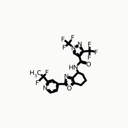 CC(F)(F)c1cc(-c2nc3c(o2)CCCC3NC(=O)c2cn(C(F)(F)F)nc2C(F)(F)F)ccn1